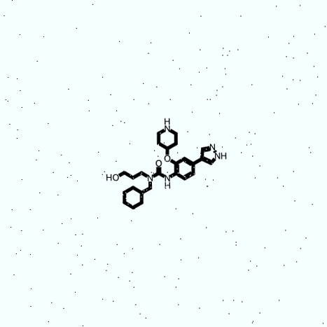 O=C(Nc1ccc(-c2cn[nH]c2)cc1OC1CCNCC1)N(CCCO)CC1CCCCC1